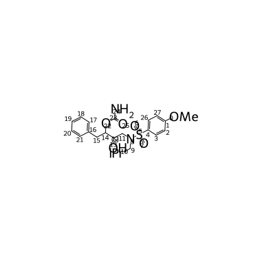 COc1ccc(S(=O)(=O)N(CC(C)C)C[C@H](O)C(Cc2ccccc2)OC(N)=O)cc1